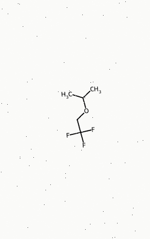 C[C](C)OCC(F)(F)F